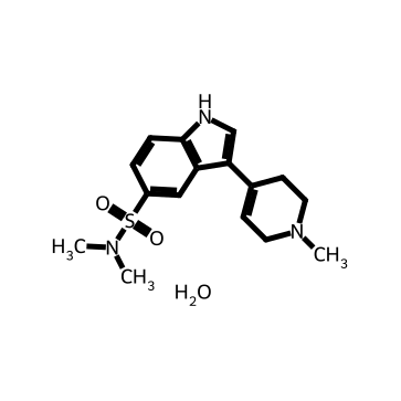 CN1CC=C(c2c[nH]c3ccc(S(=O)(=O)N(C)C)cc23)CC1.O